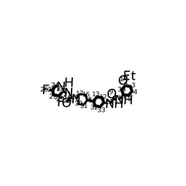 CCOc1cccc(NC(=O)Nc2ccc(C3CCN(C(=O)Nc4ncc(F)cc4F)CC3)cc2)c1